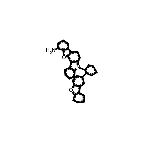 Nc1cccc2c1oc1c2ccc2c1c1ccccc1n2-c1ccccc1-c1ccc2oc3ccccc3c2c1